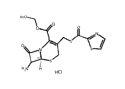 CC(=O)OCOC(=O)C1=C(CSC(=O)c2nccs2)CS[C@H]2C(N)C(=O)N12.Cl